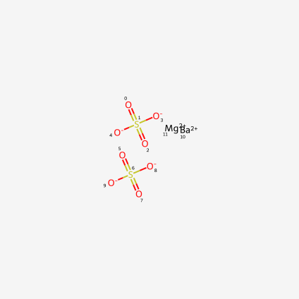 O=S(=O)([O-])[O-].O=S(=O)([O-])[O-].[Ba+2].[Mg+2]